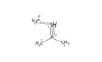 C=[SH]#P(C)C